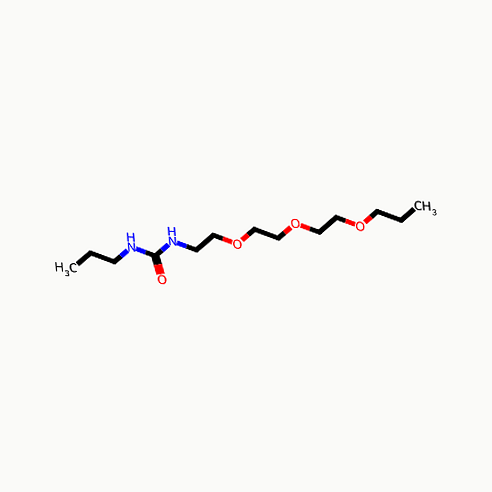 CCCNC(=O)NCCOCCOCCOCCC